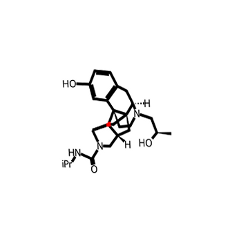 CC(C)NC(=O)N1C[C@H]2C[C@@]34CCC1C2[C@@]31CCN(C[C@@H](C)O)[C@@H]4Cc2ccc(O)cc21